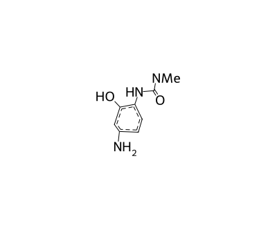 CNC(=O)Nc1ccc(N)cc1O